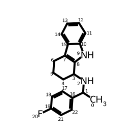 CC(NC1CCCc2c1[nH]c1ccccc21)c1ccc(F)cc1